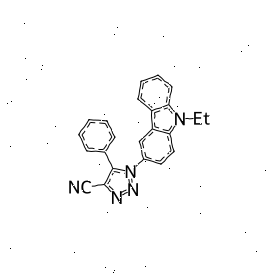 CCn1c2ccccc2c2cc(-n3nnc(C#N)c3-c3ccccc3)ccc21